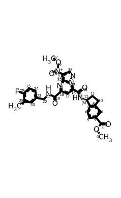 COC(=O)c1ccc2c(c1)CC[C@@H]2NC(=O)c1cc(C(=O)NCc2ccc(F)c(C)c2)nc2c([N+](=O)OC)cnn12